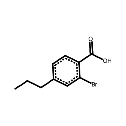 CCCc1ccc(C(=O)O)c(Br)c1